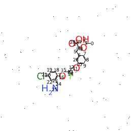 CC(C)O[C@@H](Cc1cccc(OC[C@H](F)COc2ccc(Cl)cc2CN)c1)C(=O)O